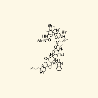 CC[C@@H](C(=O)N(C)[C@H](C)C(=O)N(C)[C@@H](CC(C)C)C(=O)N[C@H](C(=O)N(C)[C@@H](CC(C)C)C(=O)N[C@H](C)C(=O)NC(=O)NC)C(C)C)N1C(=O)[C@@H]2[C@H](OC(C)[C@H](N(C)C(=O)C(CC(C)C)N(C)C(=O)CCC(C)C)C(=O)N2C)[C@H]1Cc1nc2ccccc2[nH]1